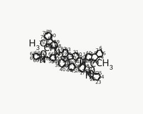 CC1(C)c2ccccc2-c2ccc(N(c3cccc(-c4nc5ccccc5o4)c3)c3ccc4c(c3)C(c3ccccc3)(c3ccccc3)c3cc(N(c5cccc(-c6nc7ccccc7o6)c5)c5ccc6c(c5)C(C)(C)c5ccccc5-6)ccc3-4)cc21